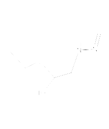 C=NNCC(O)OCC